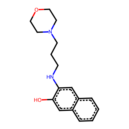 Oc1cc2ccccc2cc1NCCCN1CCOCC1